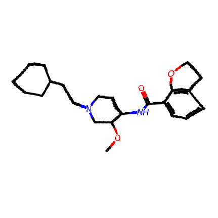 COC1CN(CCC2CCCCC2)CCC1NC(=O)c1cccc2c1OCC2